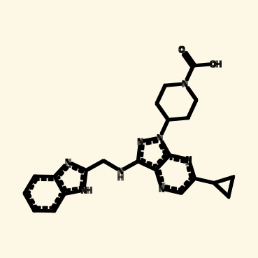 O=C(O)N1CCC(n2nc(NCc3nc4ccccc4[nH]3)c3ncc(C4CC4)nc32)CC1